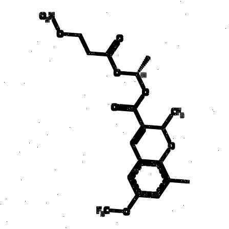 Cc1cc(OC(F)(F)F)cc2c1OC(C(F)(F)F)C(C(=O)O[C@@H](C)OC(=O)CCO[N+](=O)[O-])=C2